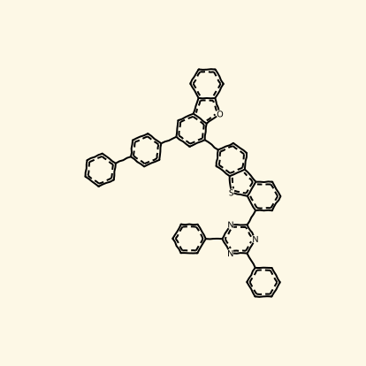 c1ccc(-c2ccc(-c3cc(-c4ccc5c(c4)sc4c(-c6nc(-c7ccccc7)nc(-c7ccccc7)n6)cccc45)c4oc5ccccc5c4c3)cc2)cc1